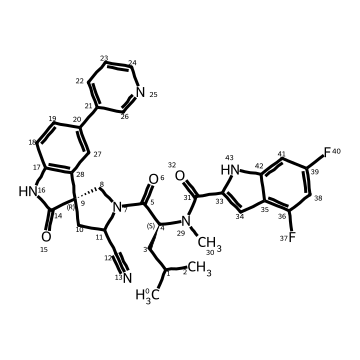 CC(C)C[C@@H](C(=O)N1C[C@]2(CC1C#N)C(=O)Nc1ccc(-c3cccnc3)cc12)N(C)C(=O)c1cc2c(F)cc(F)cc2[nH]1